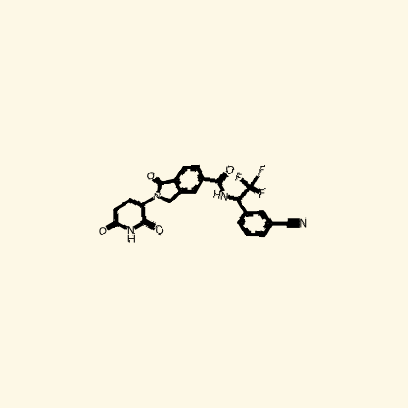 N#Cc1cccc(C(NC(=O)c2ccc3c(c2)CN(C2CCC(=O)NC2=O)C3=O)C(F)(F)F)c1